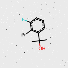 CC(C)c1c(F)cccc1C(C)(C)O